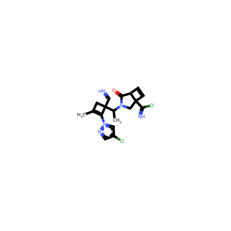 CC1=C(n2cc(Cl)cn2)C(C=N)(C(C)N2CC3(C(=N)Cl)C=CC3C2=O)C1